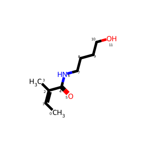 CC=C(C)C(=O)NCCCCO